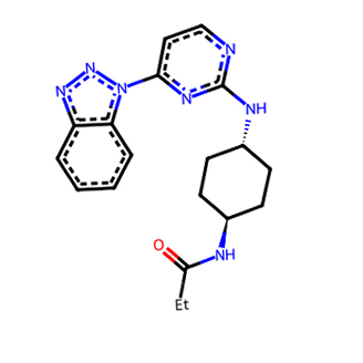 CCC(=O)N[C@H]1CC[C@H](Nc2nccc(-n3nnc4ccccc43)n2)CC1